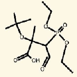 CCOP(=O)(OCC)C(C=O)C(C)(OC(C)(C)C)C(=O)O